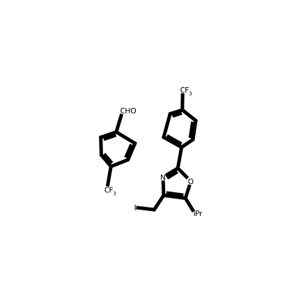 CC(C)c1oc(-c2ccc(C(F)(F)F)cc2)nc1CI.O=Cc1ccc(C(F)(F)F)cc1